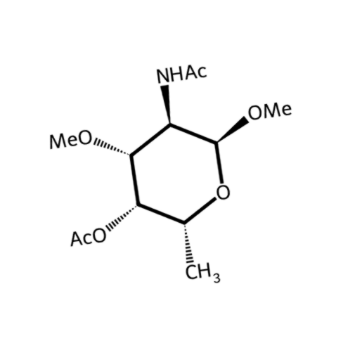 CO[C@H]1O[C@H](C)[C@H](OC(C)=O)[C@H](OC)[C@H]1NC(C)=O